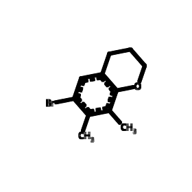 Cc1c(Br)cc2c(c1C)OCCC2